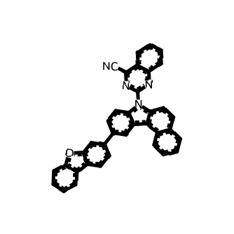 N#Cc1nc(-n2c3ccc(-c4ccc5c(c4)oc4ccccc45)cc3c3c4ccccc4ccc32)nc2ccccc12